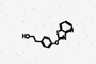 OCCc1ccc(Oc2nc3ncccc3s2)cc1